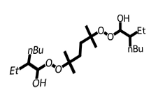 CCCCC(CC)C(O)OOC(C)(C)CCC(C)(C)OOC(O)C(CC)CCCC